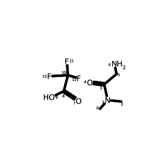 CN(C)C(=O)CN.O=C(O)C(F)(F)F